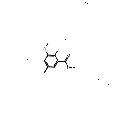 COC(=O)c1cc(C)cc(OC)c1F